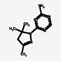 CC1=NN(c2ncnc(N)n2)C(C)(C)C1